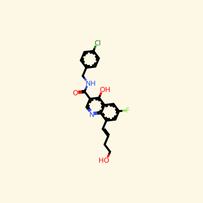 O=C(NCc1ccc(Cl)cc1)c1cnc2c(C=CCCO)cc(F)cc2c1O